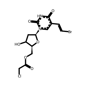 O=C(CCl)OC[C@@H]1O[C@H](n2cc(/C=C/Br)c(=O)[nH]c2=O)CC1O